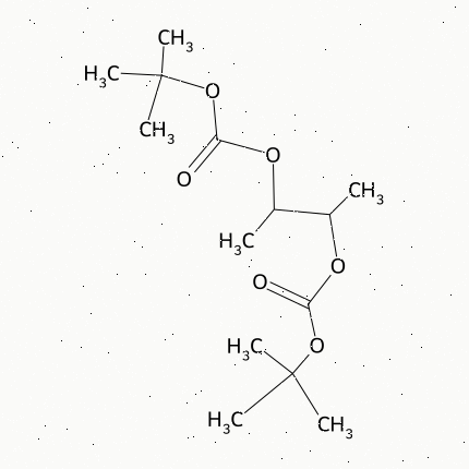 CC(OC(=O)OC(C)(C)C)C(C)OC(=O)OC(C)(C)C